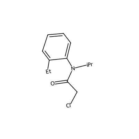 CCc1ccccc1N(C(=O)CCl)C(C)C